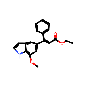 CCOC(=O)C=C(c1ccccc1)c1cc(OC)c2[nH]ccc2c1